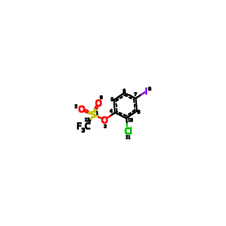 O=S(=O)(Oc1ccc(I)cc1Cl)C(F)(F)F